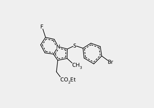 CCOC(=O)Cc1c(C)c(Sc2ccc(Br)cc2)n2cc(F)ccc12